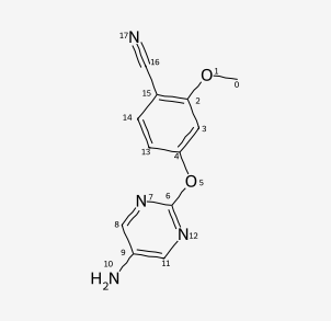 COc1cc(Oc2ncc(N)cn2)ccc1C#N